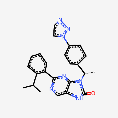 CC(C)c1ccccc1-c1ncc2[nH]c(=O)n([C@@H](C)c3ccc(-n4ccnn4)cc3)c2n1